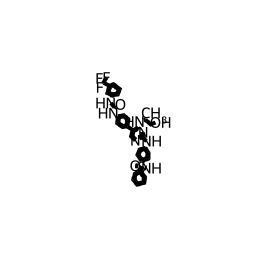 CC(CO)Nc1nc(Nc2ccc(S(=N)(=O)c3ccccc3)cc2)ncc1-c1ccc(NC(=O)Nc2cccc(C(F)(F)F)c2)cc1